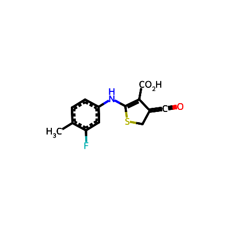 Cc1ccc(NC2=C(C(=O)O)C(=C=O)CS2)cc1F